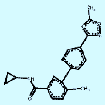 Cc1nc(-c2ccc(-c3cc(C(=O)NC4CC4)ccc3C)cc2)no1